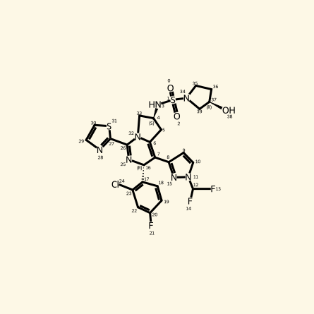 O=S(=O)(N[C@H]1CC2=C(c3ccn(C(F)F)n3)[C@H](c3ccc(F)cc3Cl)N=C(c3nccs3)N2C1)N1CC[C@@H](O)C1